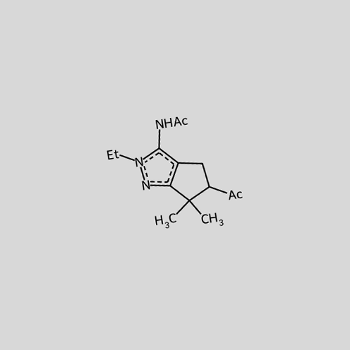 CCn1nc2c(c1NC(C)=O)CC(C(C)=O)C2(C)C